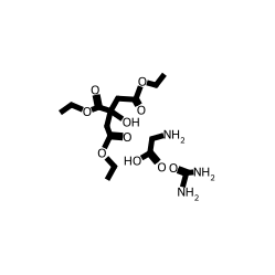 CCOC(=O)CC(O)(CC(=O)OCC)C(=O)OCC.NC(N)=O.NCC(=O)O